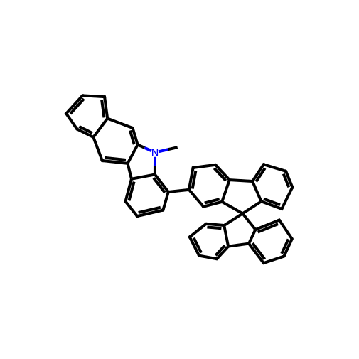 Cn1c2cc3ccccc3cc2c2cccc(-c3ccc4c(c3)C3(c5ccccc5-c5ccccc53)c3ccccc3-4)c21